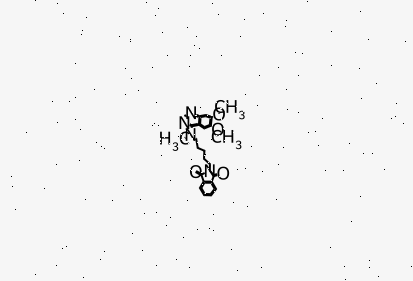 COc1cc2ncnc(N(C)CCCCCN3C(=O)c4ccccc4C3=O)c2cc1OC